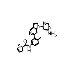 Cc1ccc(NC(=O)c2cccs2)cc1-c1cc2c(ccn2-c2cc(N)ncn2)cn1